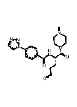 CN1CCN(C(=O)[C@H](CCC=O)NC(=O)c2ccc(-n3ccnn3)cc2)CC1